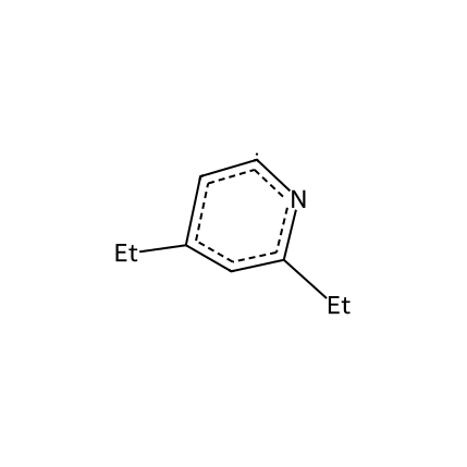 CCc1c[c]nc(CC)c1